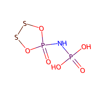 O=P(O)(O)NP1(=O)OSSO1